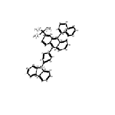 CC(C)(C)c1ccc2c(-c3ccc(-n4c5ccccc5c5ccccc54)cc3)c3ccccc3c(-c3cccc4ccccc34)c2c1